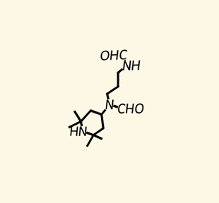 CC1(C)CC(N(C=O)CCCNC=O)CC(C)(C)N1